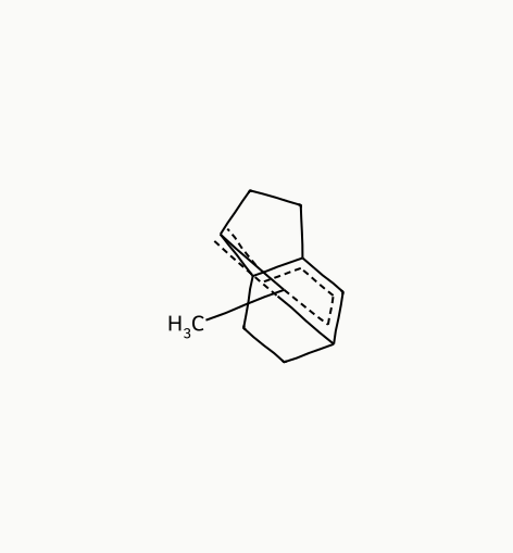 Cc1c2cc3c(c1CC3)CC2